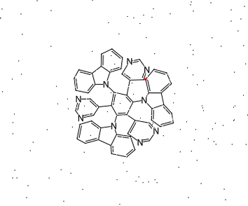 c1ccc2c(c1)c1ccccc1n2-c1c(-c2cncnc2)c(-n2c3ccccc3c3ccccc32)c(-c2cncnc2)c(-n2c3ccccc3c3ccccc32)c1-c1cncnc1